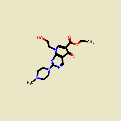 CCOC(=O)c1cn(CCO)c2nc(N3CCN(C)CC3)ncc2c1=O